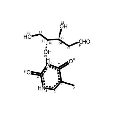 Cc1c[nH]c(=O)[nH]c1=O.O=CC[C@H](O)[C@H](O)CO